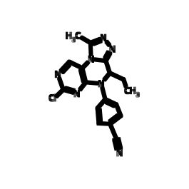 CCC1c2nnc(C)n2-c2cnc(Cl)nc2N1c1ccc(C#N)cc1